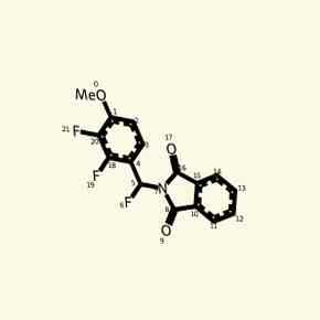 COc1ccc(C(F)N2C(=O)c3ccccc3C2=O)c(F)c1F